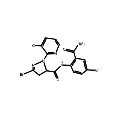 CNC(=O)c1cc(Br)ccc1NC(=O)C1CC(Br)=NN1c1ncccc1Cl